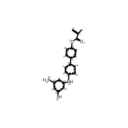 C=C(C)C(=O)Oc1ccc(-c2ccc(Nc3cc(N)cc(S)c3)cc2)cc1